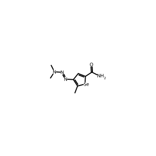 Cc1[se]c(C(N)=O)cc1N=NN(C)C